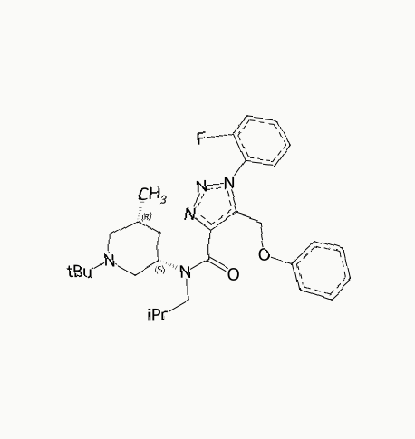 CC(C)CN(C(=O)c1nnn(-c2ccccc2F)c1COc1ccccc1)[C@H]1C[C@@H](C)CN(C(C)(C)C)C1